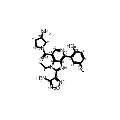 CCn1c(-c2nonc2N)nc2c(-c3cc(Cl)ccc3O)ncc(C(=O)N3CCC(N)C3)c21